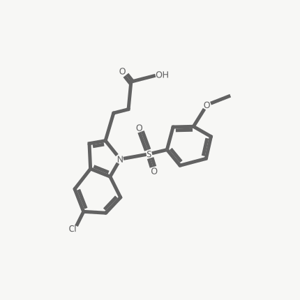 COc1cccc(S(=O)(=O)n2c(CCC(=O)O)cc3cc(Cl)ccc32)c1